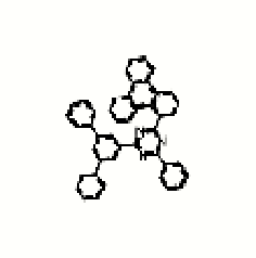 c1ccc(-c2cc(-c3ccccc3)cc(-c3nc(-c4ccccc4)nc(-c4cccc5c6ccccc6c6ccccc6c45)n3)c2)cc1